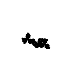 Cc1ccc(N(c2cc(C)cc(C)c2)c2ccc3c(c2)C(C)(C)c2cc4c(ccc5c6ccc(N(c7ccc(C)cc7)c7cc(C)cc(C)c7)c7c8ccccc8n(c45)c67)cc2-3)cc1